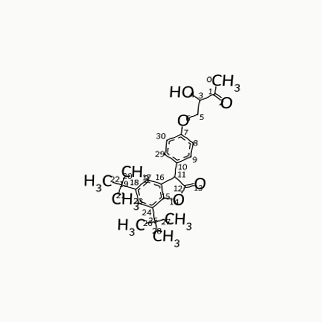 CC(=O)C(O)COc1ccc(C2C(=O)Oc3c2cc(C(C)(C)C)cc3C(C)(C)C)cc1